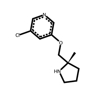 C[C@@]1(COc2cncc(Cl)c2)CCCN1